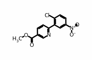 COC(=O)c1ccc(-c2cc([N+](=O)[O-])ccc2Cl)nc1